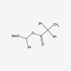 COC(OC(=O)C(C)(C(C)C)C(C)C)C(C)C